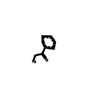 O=C([CH2][Pd])c1ccccc1